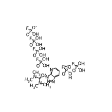 CN(C)C(=[O+]n1nnc2cccnc21)N(C)C.O=P(O)(O)F.O=P(O)(O)F.O=P(O)(O)F.O=P(O)(O)F.O=P(O)(O)F.O=P([O-])(O)F